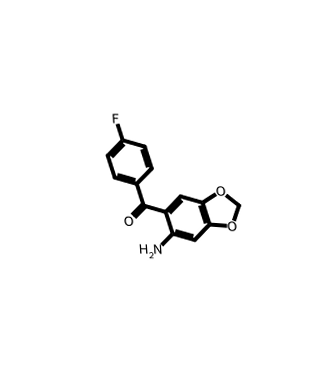 Nc1cc2c(cc1C(=O)c1ccc(F)cc1)OCO2